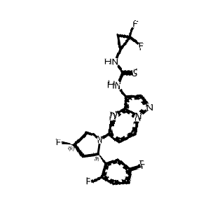 Fc1ccc(F)c([C@H]2C[C@@H](F)CN2c2ccn3ncc(NC(=S)NC4CC4(F)F)c3n2)c1